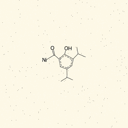 CC(C)c1cc([C](=O)[Ni])c(O)c(C(C)C)c1